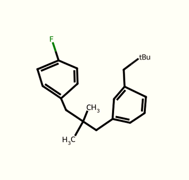 CC(C)(C)Cc1cccc(CC(C)(C)Cc2ccc(F)cc2)c1